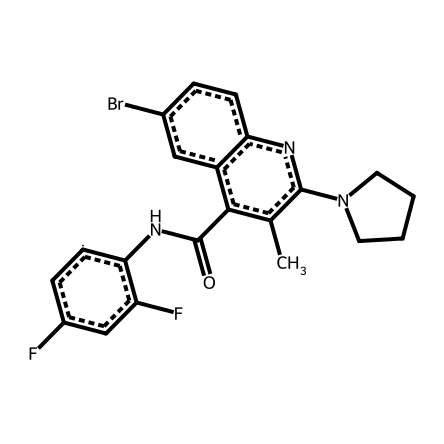 Cc1c(N2CCCC2)nc2ccc(Br)cc2c1C(=O)Nc1[c]cc(F)cc1F